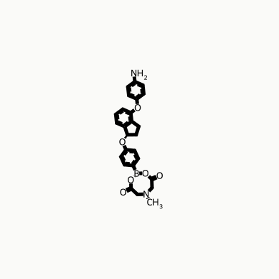 CN1CC(=O)OB(c2ccc(O[C@@H]3CCc4c(Oc5ccc(N)cc5)cccc43)cc2)OC(=O)C1